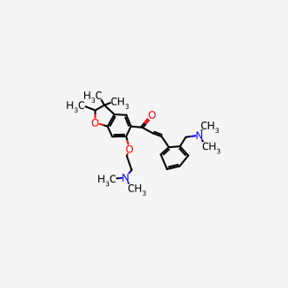 CC1Oc2cc(OCCN(C)C)c(C(=O)/C=C/c3ccccc3CN(C)C)cc2C1(C)C